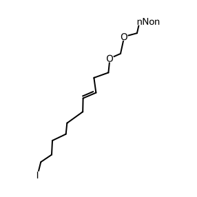 CCCCCCCCCCOCOCCC=CCCCCCCI